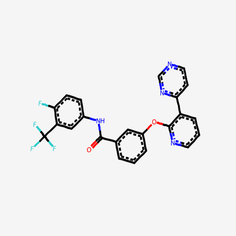 O=C(Nc1ccc(F)c(C(F)(F)F)c1)c1cccc(Oc2ncccc2-c2ccncn2)c1